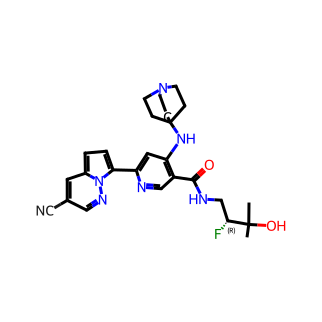 CC(C)(O)[C@H](F)CNC(=O)c1cnc(-c2ccc3cc(C#N)cnn23)cc1NC12CCN(CC1)CC2